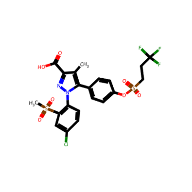 Cc1c(C(=O)O)nn(-c2ccc(Cl)cc2S(C)(=O)=O)c1-c1ccc(OS(=O)(=O)CCC(F)(F)F)cc1